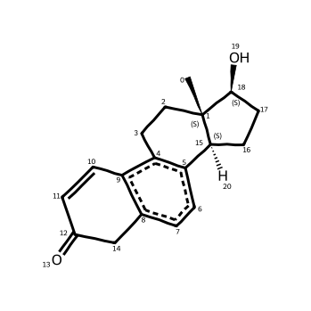 C[C@]12CCc3c(ccc4c3C=CC(=O)C4)[C@@H]1CC[C@@H]2O